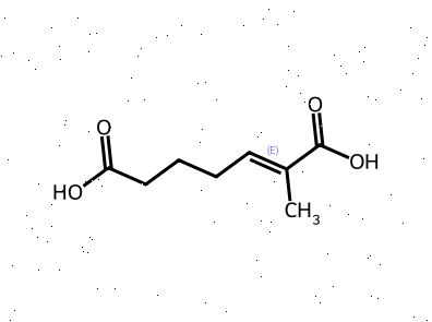 C/C(=C\CCCC(=O)O)C(=O)O